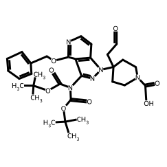 CC(C)(C)OC(=O)N(C(=O)OC(C)(C)C)c1nn(C2(CC=O)CCN(C(=O)O)CC2)c2ccnc(OCc3ccccc3)c12